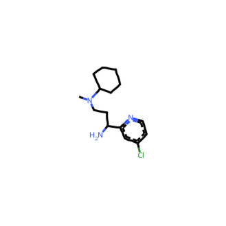 CN(CCC(N)c1cc(Cl)ccn1)C1CCCCC1